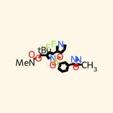 CNC(=O)OC(c1cn(S(=O)(=O)c2cccc(-c3nnc(C)o3)c2)c(-c2cccnc2F)c1F)C(C)(C)C